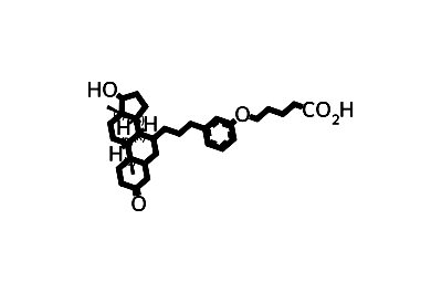 C[C@]12CCC(=O)CC1CC(CCCc1cccc(OCCCCC(=O)O)c1)[C@@H]1[C@H]2CC[C@]2(C)C(O)CC[C@@H]12